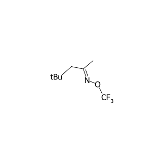 CC(CC(C)(C)C)=NOC(F)(F)F